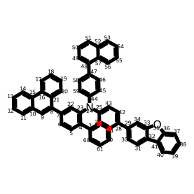 c1ccc(-c2ccc(-c3cc4ccccc4c4ccccc34)cc2N(c2ccc(-c3ccc4c(c3)oc3ccccc34)cc2)c2ccc(-c3cccc4ccccc34)cc2)cc1